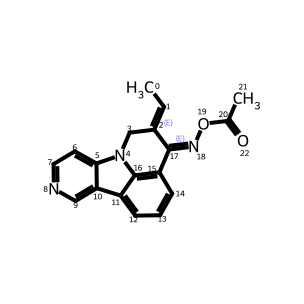 C/C=C1\Cn2c3ccncc3c3cccc(c32)\C1=N\OC(C)=O